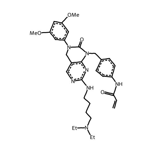 C=CC(=O)Nc1ccc(CN2C(=O)N(c3cc(OC)cc(OC)c3)Cc3cnc(NCCCCN(CC)CC)nc32)cc1